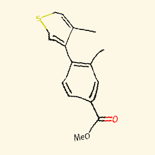 COC(=O)c1ccc(-c2cscc2C)c(C)c1